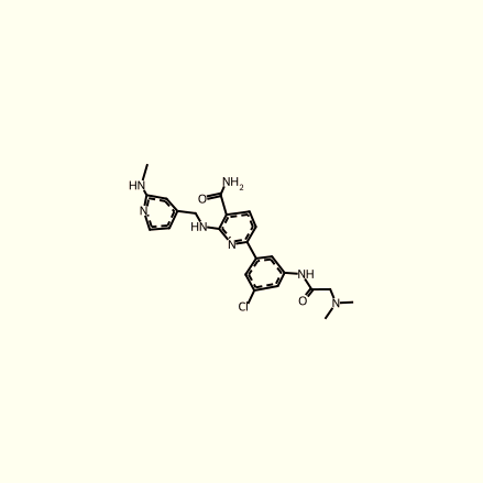 CNc1cc(CNc2nc(-c3cc(Cl)cc(NC(=O)CN(C)C)c3)ccc2C(N)=O)ccn1